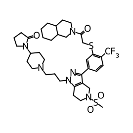 CS(=O)(=O)N1CCc2c(c(-c3ccc(C(F)(F)F)c(SCC(=O)N4CCC5CCCCC5C4)c3)nn2CCCN2CCC(N3CCCC3=O)CC2)C1